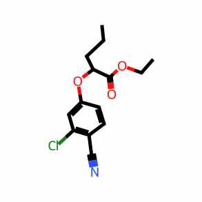 CCCC(Oc1ccc(C#N)c(Cl)c1)C(=O)OCC